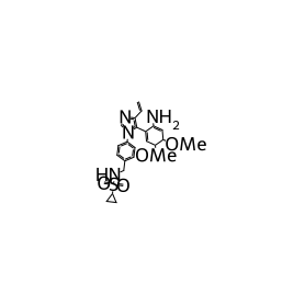 C=Cc1ncn(-c2ccc(CNS(=O)(=O)C3CC3)cc2)c1C1=CC(OC)[C@H](OC)C=C1N